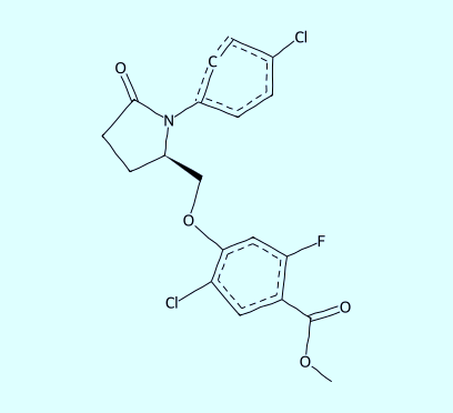 COC(=O)c1cc(Cl)c(OC[C@H]2CCC(=O)N2c2ccc(Cl)cc2)cc1F